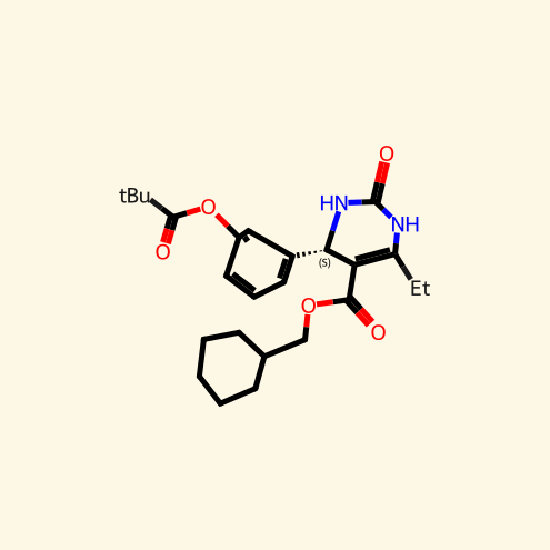 CCC1=C(C(=O)OCC2CCCCC2)[C@H](c2cccc(OC(=O)C(C)(C)C)c2)NC(=O)N1